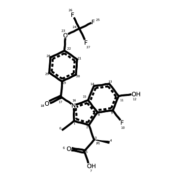 Cc1c([C@@H](C)C(=O)O)c2c(F)c(O)ccc2n1C(=O)c1ccc(OC(F)(F)F)cc1